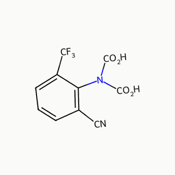 N#Cc1cccc(C(F)(F)F)c1N(C(=O)O)C(=O)O